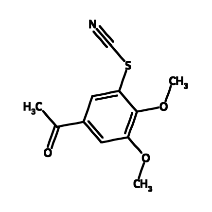 COc1cc(C(C)=O)cc(SC#N)c1OC